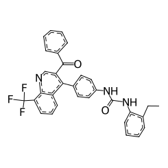 CCc1ccccc1NC(=O)Nc1ccc(-c2c(C(=O)c3ccccc3)cnc3c(C(F)(F)F)cccc23)cc1